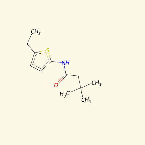 CCc1ccc(NC(=O)CC(C)(C)C)s1